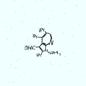 CC(C)c1cnc2c(c(C=O)c(C(C)C)n2[SiH3])c1C(C)C